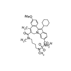 COc1ccc2c(c1)C(C)=C(C(=O)N(C)CCCCN(C)S(N)(=O)=O)Cn1c-2c(C2CCCCC2)c2ccc(C(=O)O)cc21